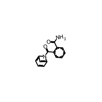 NC(=O)c1ccccc1C(=O)N1C2=CC=CC1=C2